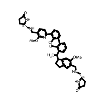 COc1cc2c(cc1CNC[C@@H]1CCC(=O)N1)CCC2C(C)c1cccc(-c2cccc(-c3ccc(CNC[C@@H]4CCC(=O)N4)c(OC)n3)c2Cl)c1Cl